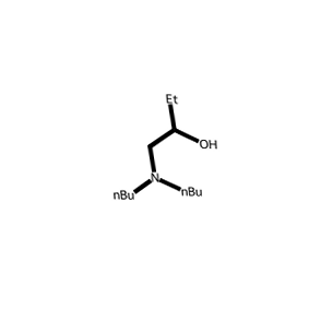 CCCCN(CCCC)CC(O)CC